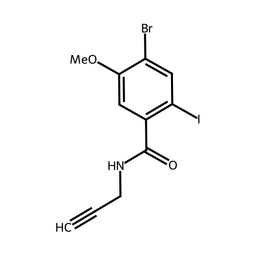 C#CCNC(=O)c1cc(OC)c(Br)cc1I